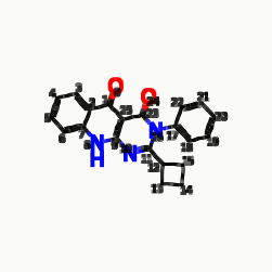 O=c1c2ccccc2[nH]c2nc(C3CCC3)n(-c3ccccc3)c(=O)c12